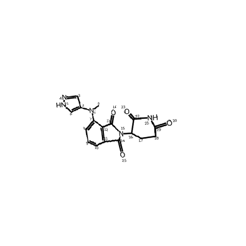 CN(c1cn[nH]c1)c1cccc2c1C(=O)N(C1CCC(=O)NC1=O)C2=O